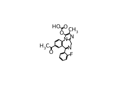 CC(=O)c1ccc2c(c1)C(c1ccccc1F)=NCc1nc(C)c(OC(=O)O)n1-2